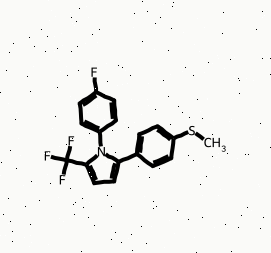 CSc1ccc(-c2ccc(C(F)(F)F)n2-c2ccc(F)cc2)cc1